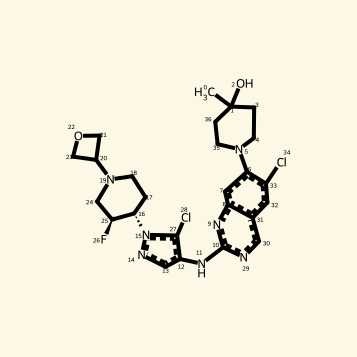 CC1(O)CCN(c2cc3nc(Nc4cnn([C@H]5CCN(C6COC6)C[C@@H]5F)c4Cl)ncc3cc2Cl)CC1